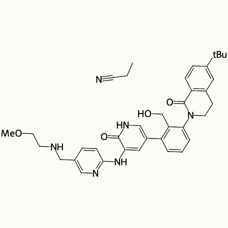 CCC#N.COCCNCc1ccc(Nc2cc(-c3cccc(N4CCc5cc(C(C)(C)C)ccc5C4=O)c3CO)c[nH]c2=O)nc1